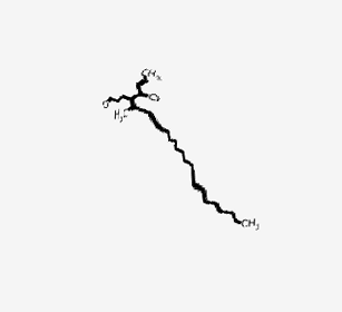 CC=CC(=O)C(=CC[C]=O)C(C)CCCCCCCCCCCCCCCCC